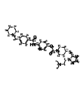 CN(C)CCn1nnnc1SC1CCN(C(=O)Oc2ccc(NC(=O)c3ccc(CN4CCCCC4)cc3)nc2)CC1